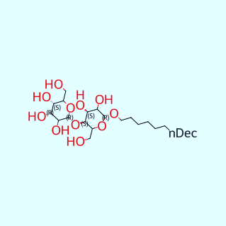 CCCCCCCCCCCCCCCCO[C@@H]1OC(CO)[C@@H](O[C@H]2OC(CO)[C@@H](O)[C@@H](O)C2O)[C@@H](O)C1O